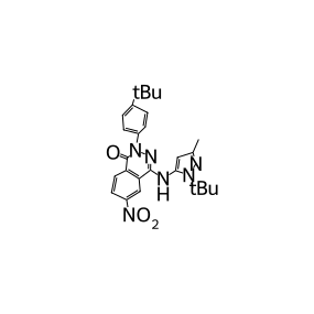 Cc1cc(Nc2nn(-c3ccc(C(C)(C)C)cc3)c(=O)c3ccc([N+](=O)[O-])cc23)n(C(C)(C)C)n1